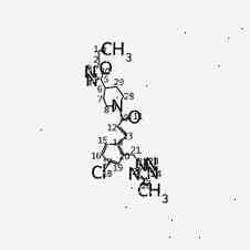 CCc1nnc(C2CCN(C(=O)C=Cc3ccc(Cl)cc3Cn3nnc(C)n3)CC2)o1